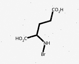 O=C(O)CCC(NBr)C(=O)O